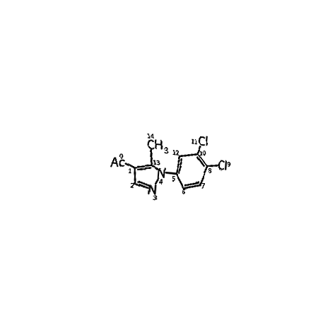 CC(=O)c1cnn(-c2ccc(Cl)c(Cl)c2)c1C